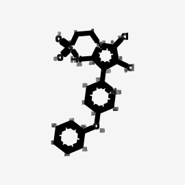 O=S1(=O)CCn2c(Cl)c(Cl)c(-c3ccc(Oc4ccccc4)cn3)c2N1